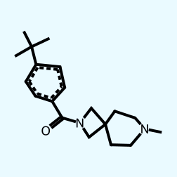 CN1CCC2(CC1)CN(C(=O)c1ccc(C(C)(C)C)cc1)C2